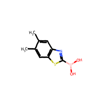 Cc1cc2nc(B(O)O)sc2cc1C